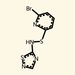 Brc1cccc(SNc2ncns2)n1